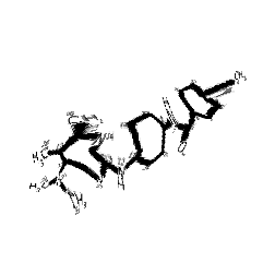 Cc1ccc(C(=O)NC2CCC(Nc3nc(C)c(C)c(N(C)C)n3)CC2)cc1